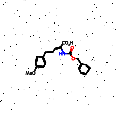 COc1ccc(CC/C=C(\NC(=O)OCc2ccccc2)C(=O)O)cc1